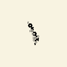 CCOC(=O)C1(NC(=O)c2ccc(NCC(C)(C)c3ccc(F)cc3)nn2)CC1